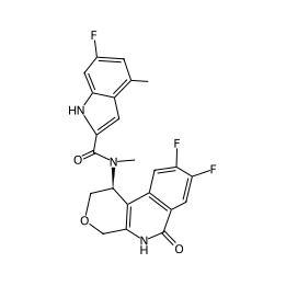 Cc1cc(F)cc2[nH]c(C(=O)N(C)[C@@H]3COCc4[nH]c(=O)c5cc(F)c(F)cc5c43)cc12